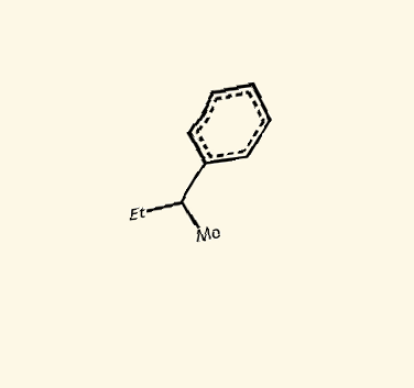 CC[CH]([Mo])c1ccccc1